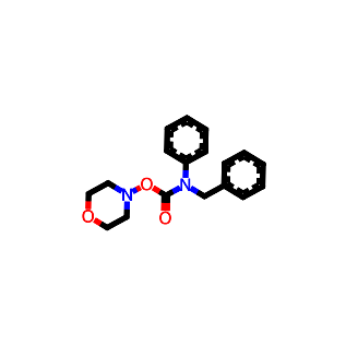 O=C(ON1CCOCC1)N(Cc1ccccc1)c1ccccc1